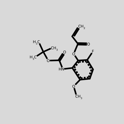 C=CC(=O)Oc1c(F)ccc(OC)c1NC(=O)OC(C)(C)C